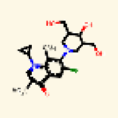 COc1c(N2CC(CO)C(O)C(CO)C2)c(F)cc2c(=O)c(C(=O)O)cn(C3CC3)c12